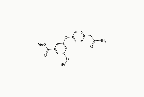 COC(=O)c1cc(Oc2ccc(CC(N)=O)cc2)cc(OC(C)C)c1